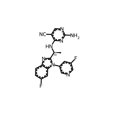 C[C@H](Nc1nc(N)ncc1C#N)c1nc2ccc(F)cc2n1-c1cncc(F)c1